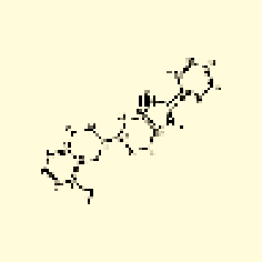 Clc1cccc2c1CC(N1CCc3nc(-c4ccccn4)[nH]c3C1)CC2